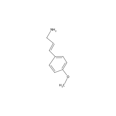 COc1ccc(C=CCN)cc1